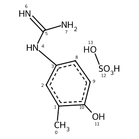 Cc1cc(NC(=N)N)ccc1O.O=S(=O)(O)O